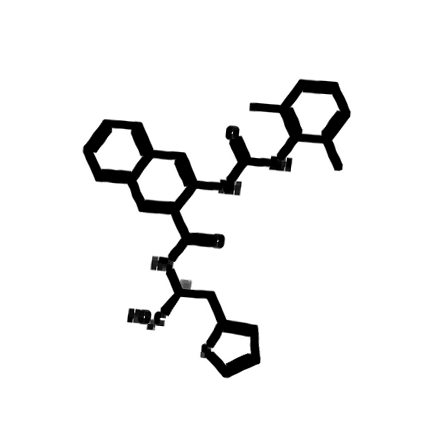 Cc1cccc(C)c1NC(=O)Nc1cc2ccccc2cc1C(=O)N[C@@H](Cc1cccs1)C(=O)O